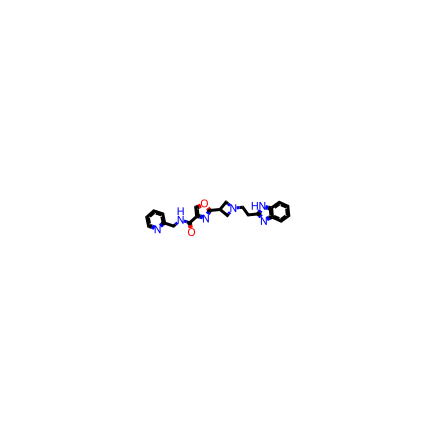 O=C(NCc1ccccn1)c1coc(C2CN(CCc3nc4ccccc4[nH]3)C2)n1